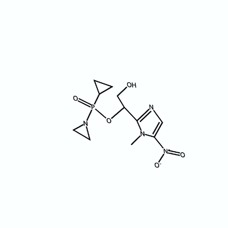 Cn1c([N+](=O)[O-])cnc1C(CO)OP(=O)(C1CC1)N1CC1